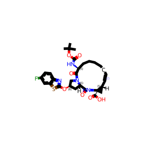 CC(C)(C)OC(=O)N[C@H]1CCCCC/C=C\[C@@H]2C[C@@]2(C(=O)O)NC(=O)[C@@H]2C[C@@H](Oc3nc4ccc(F)cc4s3)CN2C1=O